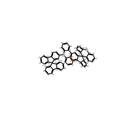 c1ccc(N(c2ccc3c(c2)C2(c4ccccc4-c4ccccc42)c2ccccc2-3)c2ccccc2-c2ccc3c(c2)C2(c4ccccc4Oc4ccccc42)c2ccccc2-3)cc1